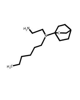 CCCCCCN(CCN)C12CCC(CC1)CC2